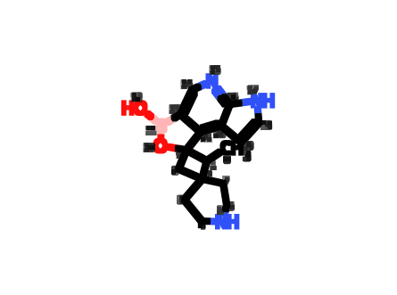 CC1C2(CCNCC2)CC12OB(O)c1cnc3[nH]ccc3c12